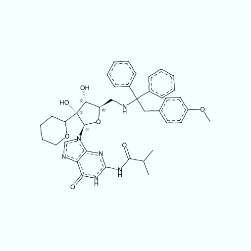 COc1ccc(CC(NC[C@H]2O[C@@H](n3cnc4c(=O)[nH]c(NC(=O)C(C)C)nc43)[C@@](O)(C3CCCCO3)[C@@H]2O)(c2ccccc2)c2ccccc2)cc1